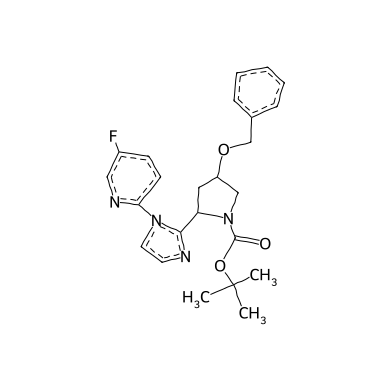 CC(C)(C)OC(=O)N1CC(OCc2ccccc2)CC1c1nccn1-c1ccc(F)cn1